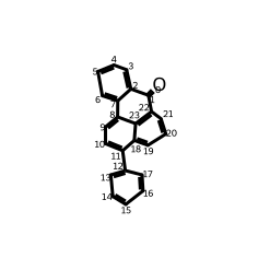 O=C1c2ccccc2-c2ccc(-c3ccccc3)c3cccc1c23